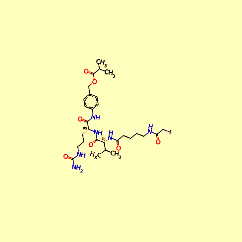 CC(C)C(=O)OCc1ccc(NC(=O)[C@@H](CCCNC(N)=O)NC(=O)[C@H](NC(=O)CCCCNC(=O)CI)C(C)C)cc1